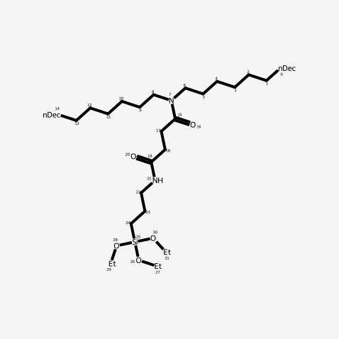 CCCCCCCCCCCCCCCCN(CCCCCCCCCCCCCCCC)C(=O)CCC(=O)NCCC[Si](OCC)(OCC)OCC